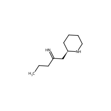 CCCC(=N)C[C@H]1CCCCN1